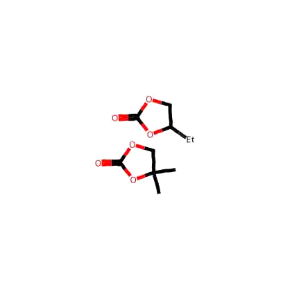 CC1(C)COC(=O)O1.CCC1COC(=O)O1